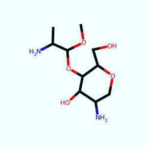 COC(OC1C(CO)OCC(N)C1O)C(C)N